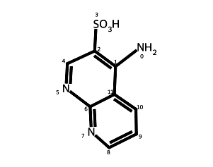 Nc1c(S(=O)(=O)O)cnc2ncccc12